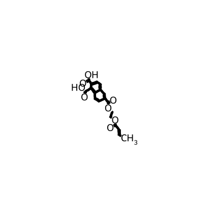 CC=CC(=O)OCCOC(=O)c1ccc2c(C(=O)O)c(C(=O)O)ccc2c1